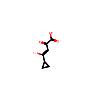 O=C(O)C(=O)/C=C(\O)C1CC1